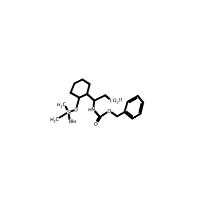 CC(C)(C)[Si](C)(C)OC1CCCCC1C(CC(=O)O)NC(=O)OCc1ccccc1